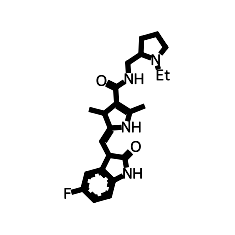 CCN1CCCC1CNC(=O)C1=C(C)NC(=CC2C(=O)Nc3ccc(F)cc32)C1C